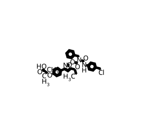 CCC(OC(=O)N(Cc1ccccc1)C(=O)Nc1ccc(CCl)cc1)c1cc(-c2ccc(OC(C)(C)C(=O)O)cc2)no1